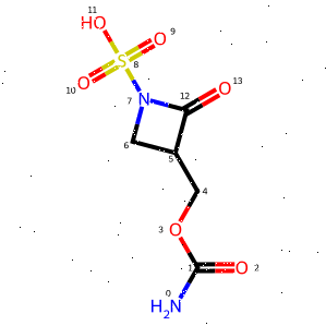 NC(=O)OCC1CN(S(=O)(=O)O)C1=O